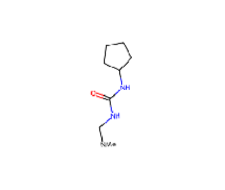 CNCNC(=O)NC1CCCC1